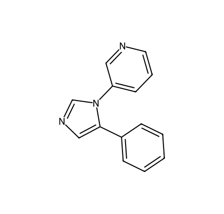 c1ccc(-c2cncn2-c2cccnc2)cc1